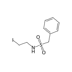 O=S(=O)(Cc1ccccc1)NCCI